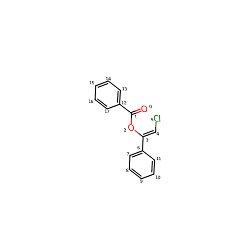 O=C(OC(=CCl)c1ccccc1)c1ccccc1